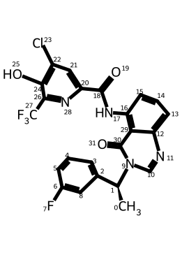 C[C@@H](c1cccc(F)c1)n1cnc2cccc(NC(=O)c3cc(Cl)c(O)c(C(F)(F)F)n3)c2c1=O